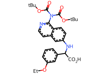 CCOc1cccc(C(Nc2ccc3c(N(C(=O)OC(C)(C)C)C(=O)OC(C)(C)C)nccc3c2)C(=O)O)c1